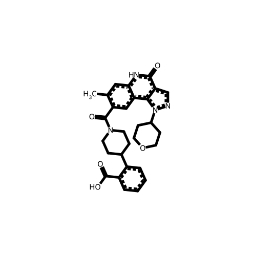 Cc1cc2[nH]c(=O)c3cnn(C4CCOCC4)c3c2cc1C(=O)N1CCC(c2ccccc2C(=O)O)CC1